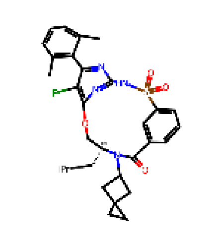 Cc1cccc(C)c1-c1nc2nc(c1F)OC[C@@H](CC(C)C)N(C1CC3(CC3)C1)C(=O)c1cccc(c1)S(=O)(=O)N2